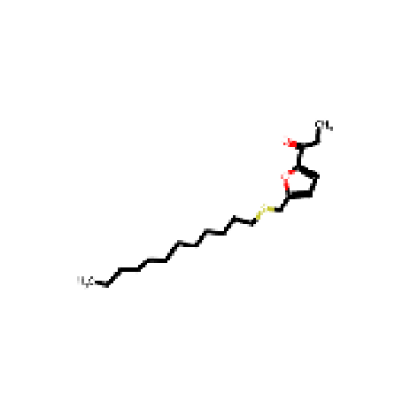 CCCCCCCCCCCCSCc1ccc(C(=O)CC)o1